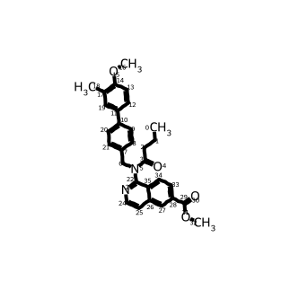 CCCC(=O)N(Cc1ccc(-c2ccc(OC)c(C)c2)cc1)c1nccc2cc(C(=O)OC)ccc12